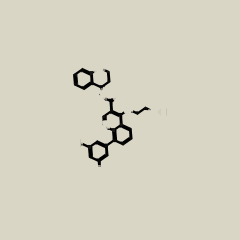 O=C(N[C@H]1CCOc2ccccc21)c1cnc2c(-c3cc(Cl)cc(Cl)c3)cccc2c1SCCO